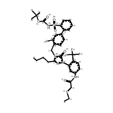 CCCCc1nn(-c2cc(NC(=O)CSCC)ccc2C(F)(F)F)c(=O)n1Cc1ccc(-c2ccccc2S(=O)(=O)NC(=O)OC(C)(C)C)cc1F